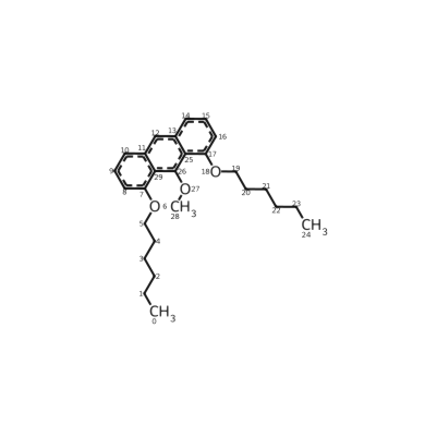 CCCCCCOc1cccc2cc3cccc(OCCCCCC)c3c(OC)c12